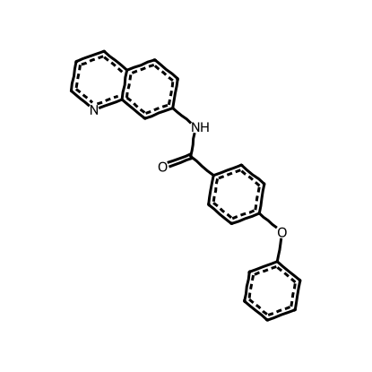 O=C(Nc1ccc2cccnc2c1)c1ccc(Oc2ccccc2)cc1